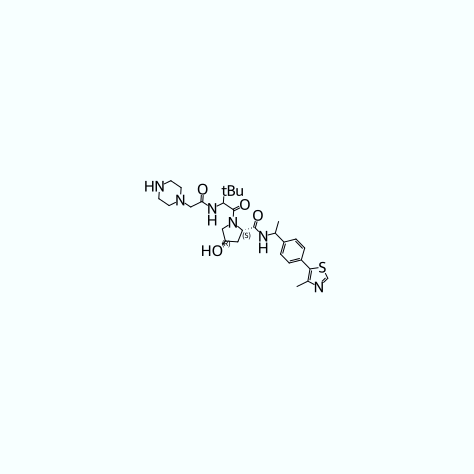 Cc1ncsc1-c1ccc(C(C)NC(=O)[C@@H]2C[C@@H](O)CN2C(=O)C(NC(=O)CN2CCNCC2)C(C)(C)C)cc1